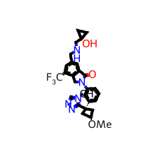 CO[C@H]1C[C@](c2cccc(N3Cc4c(cc(CNCC5(O)CC5)cc4C(F)(F)F)C3=O)c2)(c2nncn2C)C1